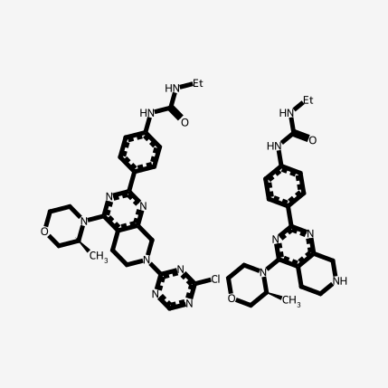 CCNC(=O)Nc1ccc(-c2nc3c(c(N4CCOC[C@@H]4C)n2)CCN(c2ncnc(Cl)n2)C3)cc1.CCNC(=O)Nc1ccc(-c2nc3c(c(N4CCOC[C@@H]4C)n2)CCNC3)cc1